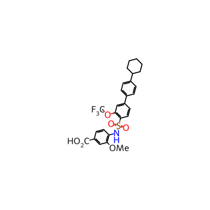 COc1cc(C(=O)O)ccc1NS(=O)(=O)c1ccc(-c2ccc(C3CCCCC3)cc2)cc1OC(F)(F)F